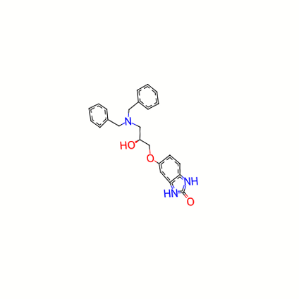 O=c1[nH]c2ccc(OC[C@@H](O)CN(Cc3ccccc3)Cc3ccccc3)cc2[nH]1